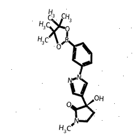 CN1CC[C@@](O)(c2cnn(-c3cccc(B4OC(C)(C)C(C)(C)O4)c3)c2)C1=O